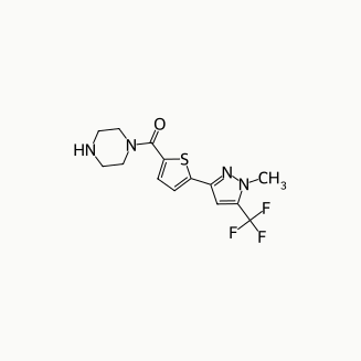 Cn1nc(-c2ccc(C(=O)N3CCNCC3)s2)cc1C(F)(F)F